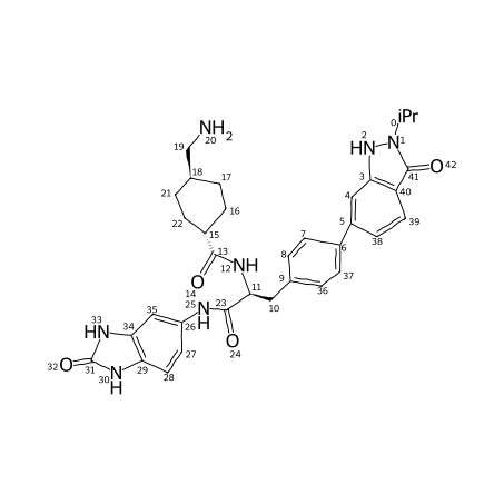 CC(C)n1[nH]c2cc(-c3ccc(C[C@H](NC(=O)[C@H]4CC[C@H](CN)CC4)C(=O)Nc4ccc5[nH]c(=O)[nH]c5c4)cc3)ccc2c1=O